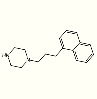 c1ccc2c(CCCN3CCNCC3)cccc2c1